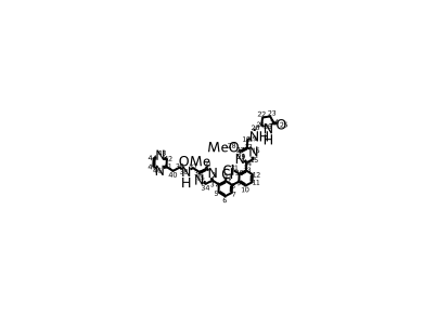 COc1nc(-c2cccc(-c3cccc(-c4cnc(CNC[C@@H]5CCC(=O)N5)c(OC)n4)c3Cl)c2Cl)cnc1CNCCc1cnccn1